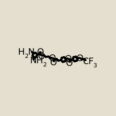 Nc1cc(N)cc(C(=O)OCCCCOC(=O)/C=C/c2ccc(OC(=O)c3ccc(OCCC(F)(F)F)cc3)cc2)c1